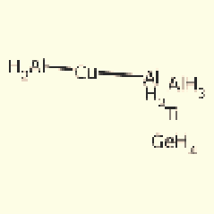 [AlH2][Cu][AlH2].[AlH3].[GeH4].[Ti]